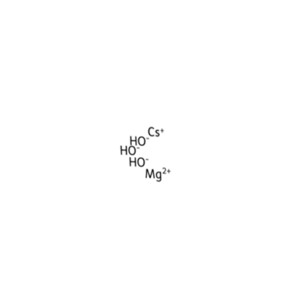 [Cs+].[Mg+2].[OH-].[OH-].[OH-]